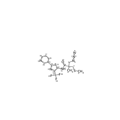 CSCC(C)(CN=[N+]=[N-])C(=O)Nc1sc(-c2cccnc2)nc1C(F)(F)F